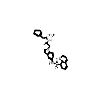 O=C(Cn1ccc2cc(NS(=O)(=O)c3cccc4cccnc34)ccc21)N[C@@H](Cc1ccccc1)C(=O)O